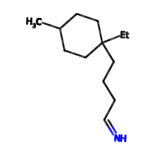 CCC1(CCCC=N)CCC(C)CC1